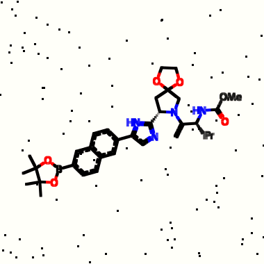 C=C([C@@H](NC(=O)OC)C(C)C)N1CC2(C[C@H]1c1ncc(-c3ccc4cc(B5OC(C)(C)C(C)(C)O5)ccc4c3)[nH]1)OCCO2